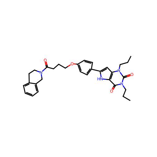 CCCn1c(=O)c2[nH]c(-c3ccc(OCCCC(=O)N4CCc5ccccc5C4)cc3)cc2n(CCC)c1=O